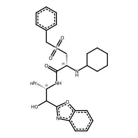 CCC[C@H](NC(=O)[C@H](CS(=O)(=O)Cc1ccccc1)NC1CCCCC1)C(O)c1nc2ccccc2o1